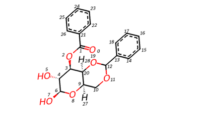 O=C(O[C@@H]1[C@@H](O)[C@H](O)O[C@@H]2COC(c3ccccc3)O[C@H]12)c1ccccc1